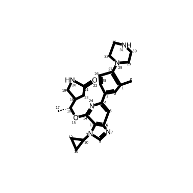 Cc1cc(-c2cc3ncn(C4CC4)c3c(O[C@H](C)C3CNC(=O)C3)n2)ccc1N1CCNCC1